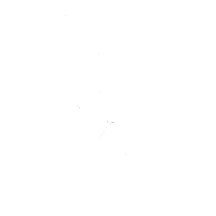 N#Cc1ccc(Nc2cc(C(F)(F)F)nc(N3CCN(S(=O)(=O)c4ccccc4)CC3)n2)cc1